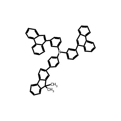 CC1(C)c2ccccc2-c2ccc(-c3ccc(N(c4cccc(-c5cc6ccccc6c6ccccc56)c4)c4cccc(-c5cc6ccccc6c6ccccc56)c4)cc3)cc21